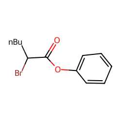 CCCCC(Br)C(=O)Oc1ccccc1